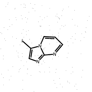 Ic1cnc2ncccn12